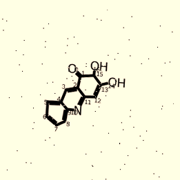 O=C1c2cc3ccccc3nc2C=C(O)C1O